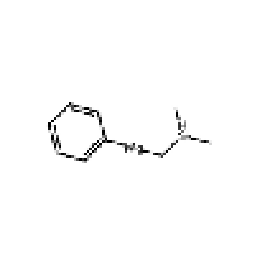 C[SiH](C)[CH2][Mg][c]1ccccc1